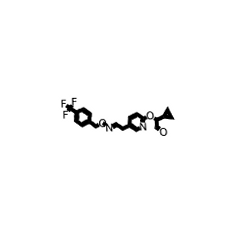 O=CC(Oc1ccc(CC=NOCc2ccc(C(F)(F)F)cc2)cn1)C1CC1